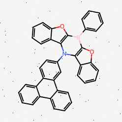 c1ccc(B2c3oc4ccccc4c3N(c3ccc4c5ccccc5c5ccccc5c4c3)c3c2oc2ccccc32)cc1